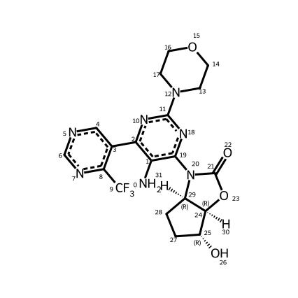 Nc1c(-c2cncnc2C(F)(F)F)nc(N2CCOCC2)nc1N1C(=O)O[C@H]2[C@H](O)CC[C@H]21